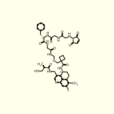 C=C(CO)C(=O)NCc1cnc2cc(F)c(C)c3c2c1[C@@H](NC(=O)C1(COCNC(=O)CNC(=O)[C@H](Cc2ccccc2)NC(=O)CNC(=O)CNN2C(=O)C=CC2=O)CCC1)CC3